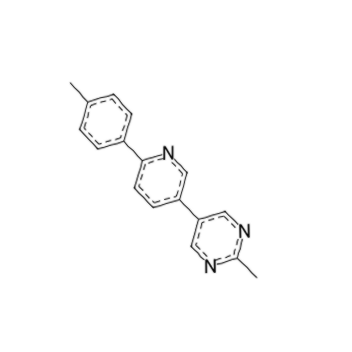 Cc1ccc(-c2ccc(-c3cnc(C)nc3)cn2)cc1